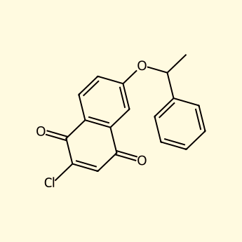 CC(Oc1ccc2c(c1)C(=O)C=C(Cl)C2=O)c1ccccc1